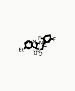 CCc1cccc([C@@]2(C)C(=N)N[C@](C)(c3cc(F)ccc3F)CS2(=O)=O)c1